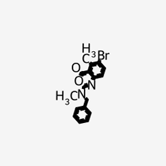 Cc1c(Br)ccc2nc(N(C)Cc3ccccc3)oc(=O)c12